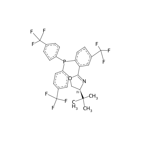 CC(C)(C)[C@H]1COC(c2cc(C(F)(F)F)ccc2P(c2ccc(C(F)(F)F)cc2)c2ccc(C(F)(F)F)cc2)=N1